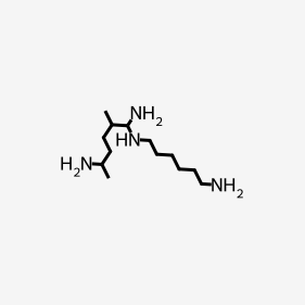 CC(N)CCC(C)C(N)NCCCCCCN